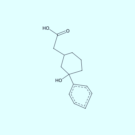 O=C(O)CC1CCCC(O)(c2ccccc2)C1